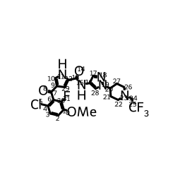 COc1ccc(Cl)c(C(=O)c2c[nH]c(C(=O)Nc3cnn(C4CCN(CC(F)(F)F)CC4)c3)c2)c1F